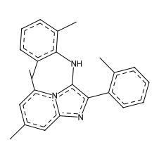 Cc1cc(C)n2c(Nc3c(C)cccc3C)c(-c3ccccc3C)nc2c1